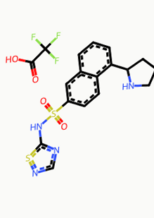 O=C(O)C(F)(F)F.O=S(=O)(Nc1ncns1)c1ccc2c(C3CCCN3)cccc2c1